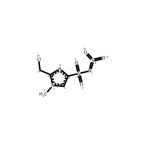 Cn1cc(S(=O)(=O)N=S(=O)=O)nc1CCl